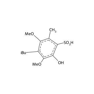 CCC(C)c1c(OC)c(C)c(S(=O)(=O)O)c(O)c1OC